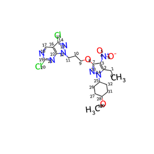 CCc1c([N+](=O)[O-])c(OCCCn2nc(Cl)c3cnc(Cl)nc32)nn1C1CCC(OC)CC1